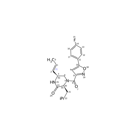 C/C=C/[C@H]1CN(C(=O)c2cc(-c3ccc(F)cc3)on2)[C@@H](CC(C)C)C(=O)N1